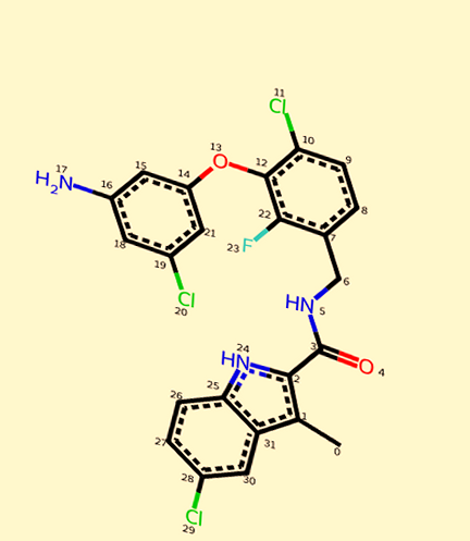 Cc1c(C(=O)NCc2ccc(Cl)c(Oc3cc(N)cc(Cl)c3)c2F)[nH]c2ccc(Cl)cc12